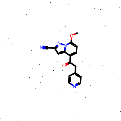 COc1ccc(C(=O)Cc2ccncc2)c2cc(C#N)nn12